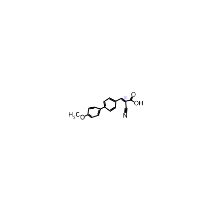 COc1ccc(-c2ccc(/C=C(\C#N)C(=O)O)cc2)cc1